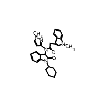 Cn1ccc(N(C(=O)Cc2cn(C)c3ccccc23)C2C(=O)N(C3CCCCC3)c3ccccc32)n1